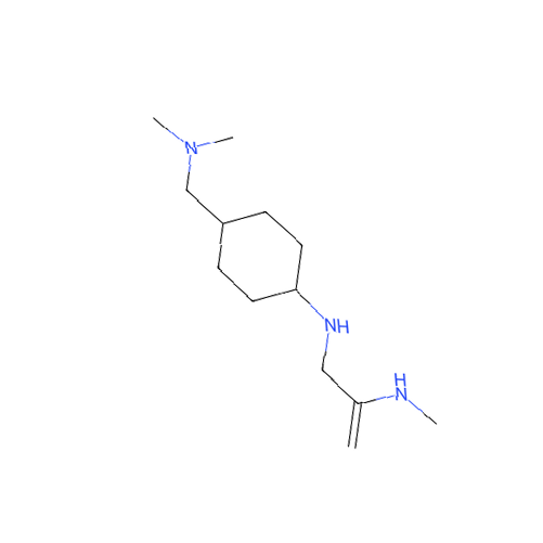 C=C(CNC1CCC(CN(C)C)CC1)NC